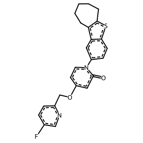 O=c1cc(OCc2ccc(F)cn2)ccn1-c1ccc2sc3c(c2c1)CCCCC3